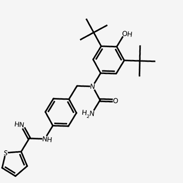 CC(C)(C)c1cc(N(Cc2ccc(NC(=N)c3cccs3)cc2)C(N)=O)cc(C(C)(C)C)c1O